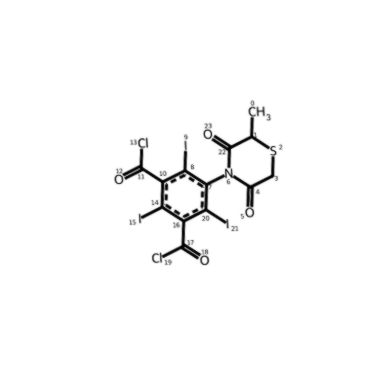 CC1SCC(=O)N(c2c(I)c(C(=O)Cl)c(I)c(C(=O)Cl)c2I)C1=O